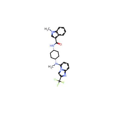 Cn1cc(C(=O)N[C@H]2CC[C@@H](N(C)c3cccc4nc(C(F)(F)F)cn34)CC2)c2ccccc21